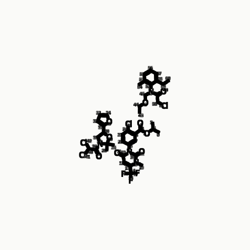 CC(C)OC(=O)c1cc(-n2c(=O)cc(C(F)(F)F)n(C)c2=O)ccc1Cl.CC1(C)OC(c2ccco2)CN1C(=O)C(Cl)Cl.CCOCN(C(=O)CCl)c1c(C)cccc1CC